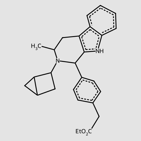 CCOC(=O)Cc1ccc(C2c3[nH]c4ccccc4c3CC(C)N2C2CC3CC32)cc1